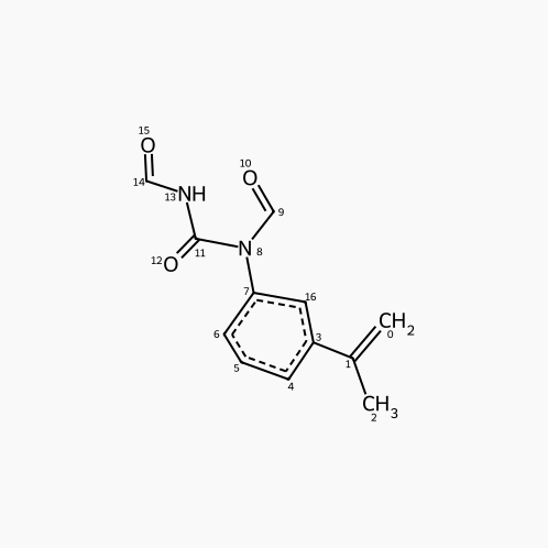 C=C(C)c1cccc(N(C=O)C(=O)NC=O)c1